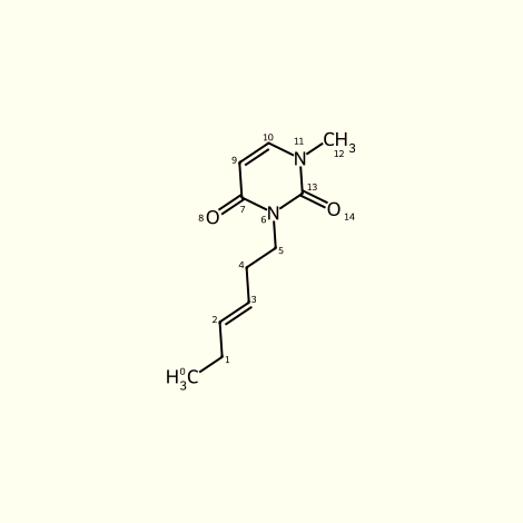 CCC=CCCn1c(=O)ccn(C)c1=O